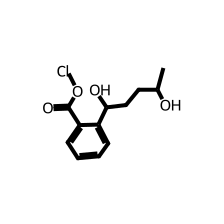 CC(O)CCC(O)c1ccccc1C(=O)OCl